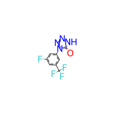 O=c1[nH]nnn1-c1cc(F)cc(C(F)(F)F)c1